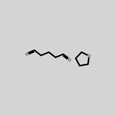 C1CCOC1.O=CCCCC=O